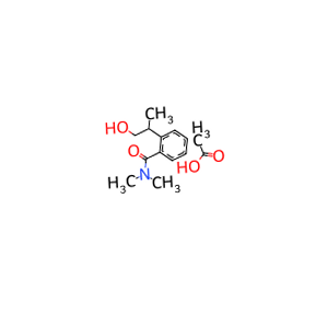 CC(=O)O.CC(CO)c1ccccc1C(=O)N(C)C